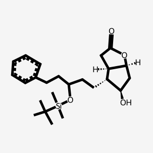 CC(C)(C)[Si](C)(C)OC(CCc1ccccc1)CC[C@@H]1[C@H]2CC(=O)O[C@H]2C[C@H]1O